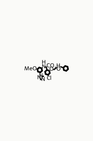 COc1cc(NC(C(=O)O)c2ccc(Cl)cc2OCCOCc2ccccc2)cc(-n2cncn2)c1